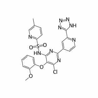 COc1ccccc1Oc1c(Cl)nc(-c2ccnc(-c3nnn[nH]3)c2)nc1NS(=O)(=O)c1ccc(C)cn1